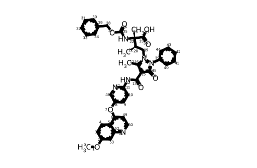 COc1ccc2c(Oc3ccc(NC(=O)c4c(C)n(C[C@@H](C)[C@](C)(NC(=O)OCc5ccccc5)C(=O)O)n(-c5ccccc5)c4=O)nc3)ccnc2c1